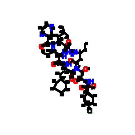 CCC(N)CC(=O)N(C(=O)C(=O)NS(=O)(=O)c1ccc(Cl)cc1)C(=O)[C@H](CC1CCCCC1)NC(=O)[C@@H](NC(=O)[C@H](CC(C)C)NC(=O)c1cnccn1)[C@@H](C)CC